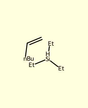 C=CCCCC.CC[SiH](CC)CC